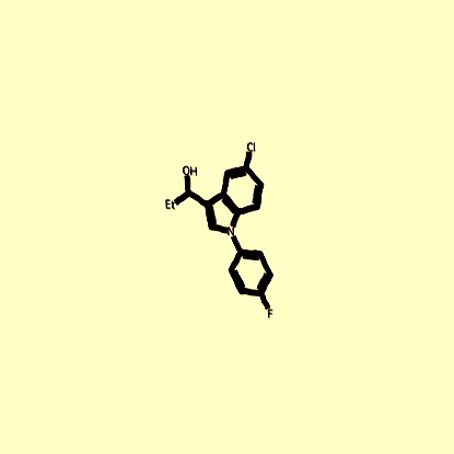 CCC(O)c1cn(-c2ccc(F)cc2)c2ccc(Cl)cc12